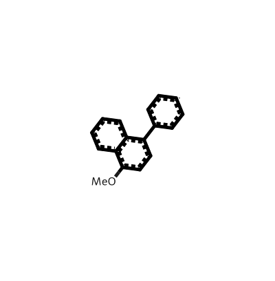 COc1ccc(-c2cc[c]cc2)c2ccccc12